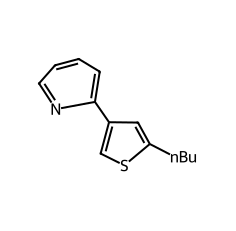 CCCCc1cc(-c2ccccn2)cs1